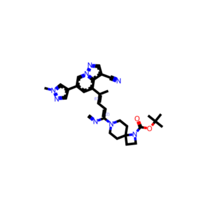 C=N/C(=C\C=C(/C)c1cc(-c2cnn(C)c2)cn2ncc(C#N)c12)N1CCC2(CC1)CCN2C(=O)OC(C)(C)C